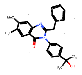 COc1cc2nc(Cc3ccccc3)n(-c3ccc(C(O)(C(F)(F)F)C(F)(F)F)cc3)c(=O)c2cc1C